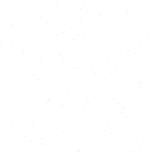 Cc1c(C(=O)O)ccc(O)c1C(N)=O